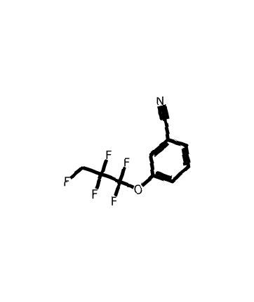 N#Cc1cccc(OC(F)(F)C(F)(F)CF)c1